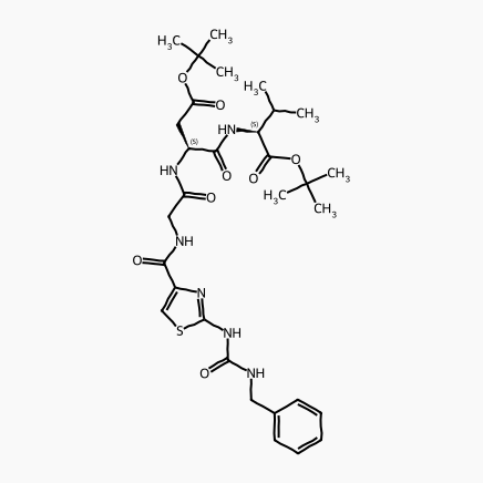 CC(C)[C@H](NC(=O)[C@H](CC(=O)OC(C)(C)C)NC(=O)CNC(=O)c1csc(NC(=O)NCc2ccccc2)n1)C(=O)OC(C)(C)C